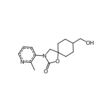 Cc1ncccc1N1CC2(CCC(CO)CC2)OC1=O